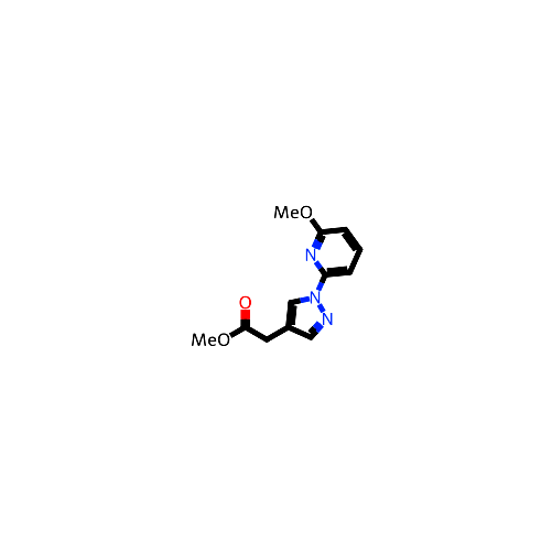 COC(=O)Cc1cnn(-c2cccc(OC)n2)c1